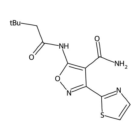 CC(C)(C)CC(=O)Nc1onc(-c2nccs2)c1C(N)=O